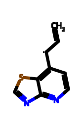 C=C[CH]c1ccnc2ncsc12